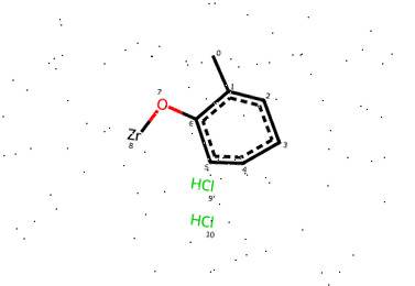 Cc1ccccc1[O][Zr].Cl.Cl